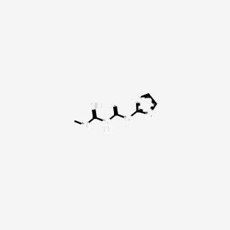 CNC(=N)NC(=O)Nc1ncco1